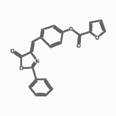 O=C1OC(c2ccccc2)=NC1=Cc1ccc(OC(=O)c2ccco2)cc1